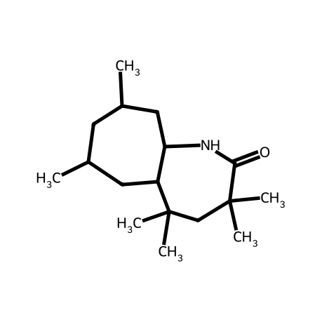 CC1CC(C)CC2C(C1)NC(=O)C(C)(C)CC2(C)C